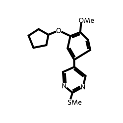 COc1ccc(-c2cnc(SC)nc2)cc1OC1CCCC1